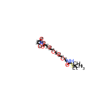 CCC(C)(C)SCC(=O)NCCOCCOCCOCCOCCC(=O)ON1C(=O)CCC1=O